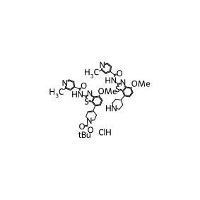 COc1ccc(C2=CCN(C(=O)OC(C)(C)C)CC2)c2sc(NC(=O)c3ccnc(C)c3)nc12.COc1ccc(C2CCNCC2)c2sc(NC(=O)c3ccnc(C)c3)nc12.Cl